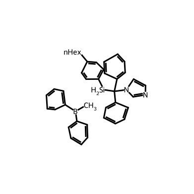 CB(c1ccccc1)c1ccccc1.CCCCCCc1ccc([SiH2]C(c2ccccc2)(c2ccccc2)n2ccnc2)cc1